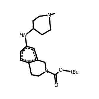 CN1CCC(Nc2ccc3c(c2)CN(C(=O)OC(C)(C)C)CC3)CC1